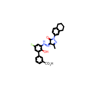 CC1=NN(c2ccc3c(c2)CCCC3)C(=O)/C1=N\Nc1cc(F)cc(-c2cccc(C(=O)O)c2)c1O